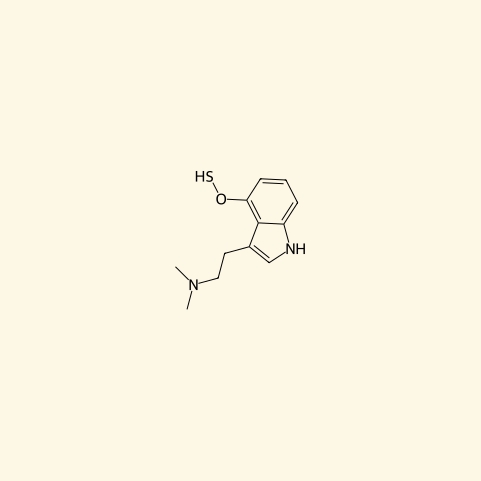 CN(C)CCc1c[nH]c2cccc(OS)c12